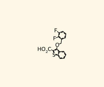 O=C(O)c1sc2ccccc2c1OCc1cccc(F)c1F